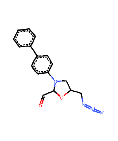 [N-]=[N+]=NCC1CN(c2ccc(-c3ccccc3)cc2)C(C=O)O1